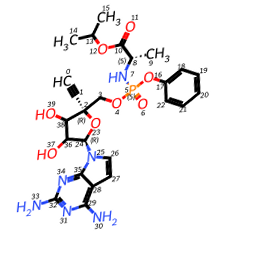 C#C[C@]1(CO[P@@](=O)(N[C@@H](C)C(=O)OC(C)C)Oc2ccccc2)O[C@@H](n2ccc3c(N)nc(N)nc32)C(O)C1O